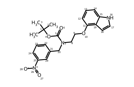 CC(C)(C)OC(=O)N(CCOc1cccc2[nH]ccc12)Cc1cccc([N+](=O)[O-])c1